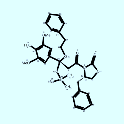 COc1cc([C@](CC(=O)N2C(=O)OC[C@@H]2Cc2ccccc2)(OCCc2ccccc2)O[Si](C)(C)C(C)(C)C)cc(OC)c1C